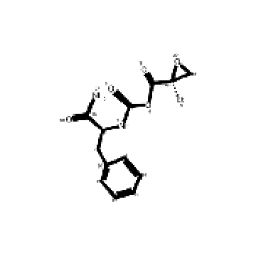 CC[C@@]1(C(=O)OC(=O)NC(Cc2ccccc2)C(N)=O)CO1